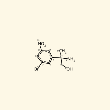 CC(N)(CO)c1cc(Br)cc([N+](=O)[O-])c1